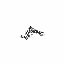 CC(C)(C)OC(=O)Nc1cccc(-n2c(=O)n(-c3ccc(OCc4ccccc4)cc3)c3cnccc32)c1